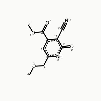 COCc1cc(C(=O)OC)c(C#N)c(=O)[nH]1